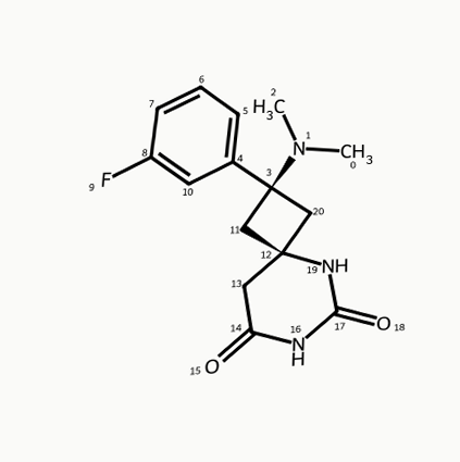 CN(C)[C@]1(c2cccc(F)c2)C[C@@]2(CC(=O)NC(=O)N2)C1